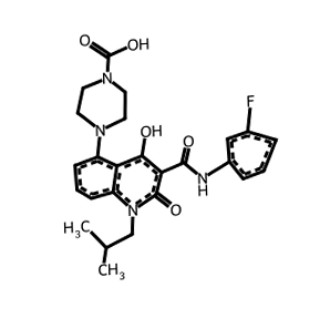 CC(C)Cn1c(=O)c(C(=O)Nc2cccc(F)c2)c(O)c2c(N3CCN(C(=O)O)CC3)cccc21